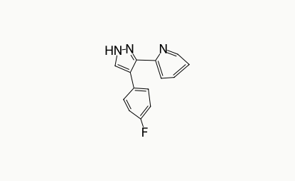 Fc1ccc(-c2c[nH]nc2-c2ccccn2)cc1